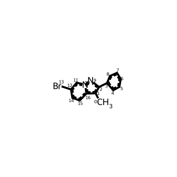 Cc1c(-c2ccccc2)nn2cc(Br)ccc12